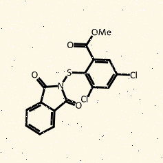 COC(=O)c1cc(Cl)cc(Cl)c1SN1C(=O)c2ccccc2C1=O